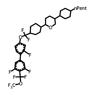 CCCCCC1CCC(C2CCC(C3CCC(C(F)(F)Oc4ccc(-c5cc(F)c(C(F)(F)OC(F)(F)F)c(F)c5)c(F)c4)CC3)OC2)CC1